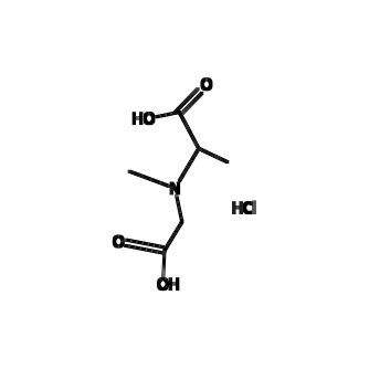 CC(C(=O)O)N(C)CC(=O)O.Cl